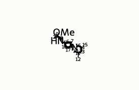 COC(C)CNc1ccc(N2C[C@H](C)C[C@@H](C)C2)cc1